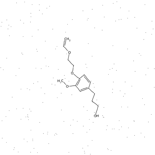 C=COCCOc1ccc(CCCO)cc1OC